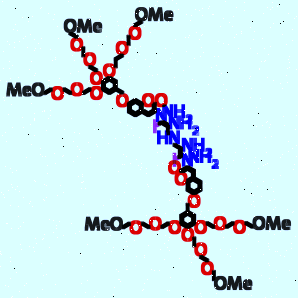 COCCOCCOCCCOc1cc(COc2ccc3cc(N(N)/C(I)=C(\N)CNC/C(N)=C(\I)N(N)c4cc5ccc(OCc6cc(OCCOCCOCCOC)c(OCCOCCOCCOC)c(OCCOCCOCCOC)c6)cc5oc4=O)c(=O)oc3c2)cc(OCCOCCOCCOC)c1OCCOCCOCCOC